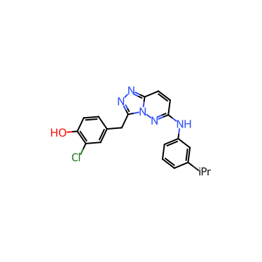 CC(C)c1cccc(Nc2ccc3nnc(Cc4ccc(O)c(Cl)c4)n3n2)c1